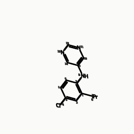 CC(C)c1cc(Cl)ccc1Nc1cncnc1